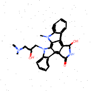 CN(C)CC(O)Cn1c2ccccc2c2c3c(c4c5ccccc5n(C)c4c21)C(O)NC3=O